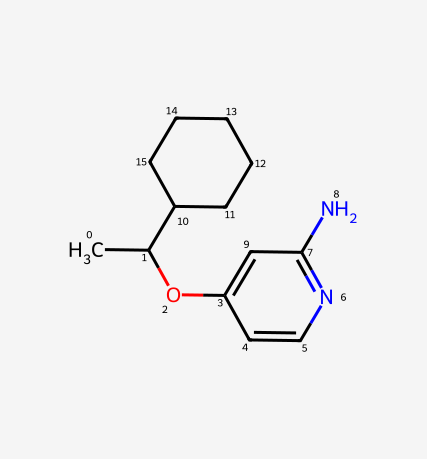 CC(Oc1ccnc(N)c1)C1CCCCC1